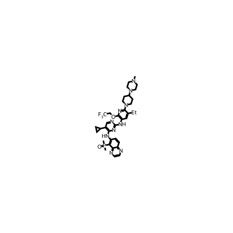 CCc1cc(Nc2ncc(C3CC3)c(Nc3ccc4nccnc4c3P(C)(C)=O)n2)c(OCC(F)(F)F)nc1N1CCC(N2CCN(C)CC2)CC1